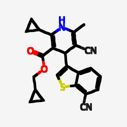 CC1=C(C#N)C(c2csc3c(C#N)cccc23)C(C(=O)OCC2CC2)=C(C2CC2)N1